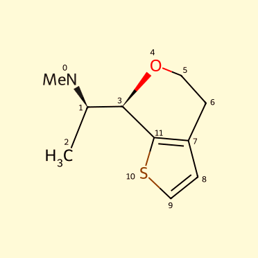 CN[C@H](C)[C@H]1OCCc2ccsc21